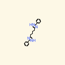 c1ccc(-c2nc(CCCCc3c[nH]c(-c4ccccc4)n3)c[nH]2)cc1